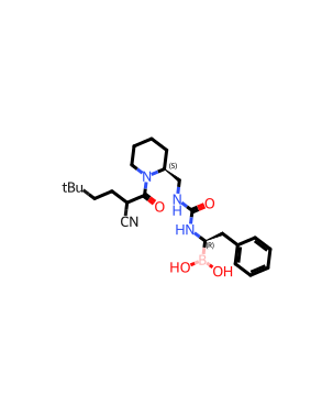 CC(C)(C)CCC(C#N)C(=O)N1CCCC[C@H]1CNC(=O)N[C@@H](Cc1ccccc1)B(O)O